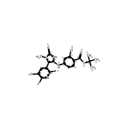 Cn1c(-c2cc(F)c(F)nc2F)c(Nc2ccc(C(=O)OC(C)(C)C)c(Cl)c2)[nH]c1=O